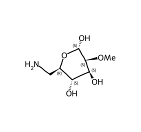 CO[C@H]1[C@@H](O)[C@H](O)[C@@H](CN)O[C@@H]1O